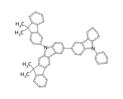 CC1(C)c2ccccc2-c2cc(-n3c4ccc(-c5ccc6c(c5)c5ccccc5n6-c5ccccc5)cc4c4cc5c(cc43)C(C)(C)c3ccccc3-5)ccc21